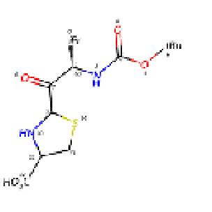 CC(C)[C@@H](NC(=O)OC(C)(C)C)C(=O)C1NC(C(=O)O)CS1